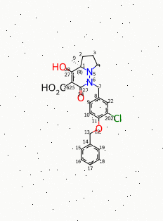 C[C@]12CCCN1N(Cc1ccc(OCc3ccccc3)c(Cl)c1)C(=O)C(C(=O)O)=C2O